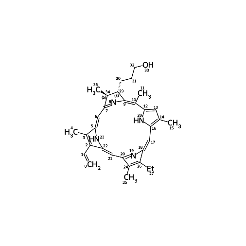 C=Cc1c(C)c2cc3nc(c(C)c4cc(C)c(cc5nc(cc1[nH]2)C(C)=C5CC)[nH]4)[C@@H](CCCO)[C@@H]3C